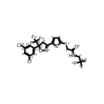 O=C(CSc1ccc(C2=NOC(c3cc(Cl)cc(Cl)c3)(C(F)(F)F)C2)s1)NCC(F)(F)F